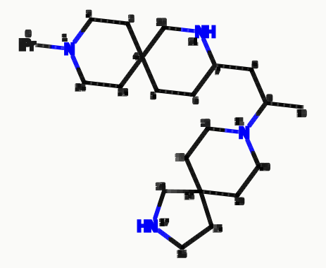 CC(C)N1CCC2(CCC(CC(C)N3CCC4(CCNC4)CC3)NC2)CC1